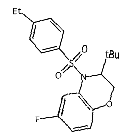 CCc1ccc(S(=O)(=O)N2c3cc(F)ccc3OCC2C(C)(C)C)cc1